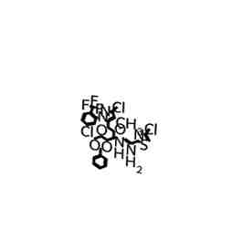 COC1C(c2cc(Cl)nn2-c2cc(Cl)ccc2C(F)(F)F)OC2COC(c3ccccc3)OC2C1N/C=C(\N)c1nc(Cl)cs1